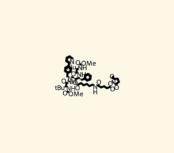 COC(=O)N[C@H](C(=O)N[C@@H](Cc1ccccc1)[C@H](CN(Cc1ccc(-c2ccccn2)cc1)NC(=O)[C@@H](NC(=O)OC)C(C)(C)C)OC(=O)CCCCCNC(=O)CCCC(=O)ON1C(=O)CCC1=O)C(C)(C)C